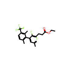 C=C(C)/C=C(\C(F)=C(/F)CCC(=O)OCC)c1c(C)ccc(C(F)(F)F)c1C